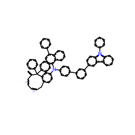 C=C1/C=C\C=C/Cc2ccc(N(c3ccc(-c4cccc(-c5ccc6c(c5)c5ccccc5n6-c5ccccc5)c4)cc3)c3ccc(-c4ccccc4)c4ccccc34)cc2C1(c1ccccc1)c1ccccc1